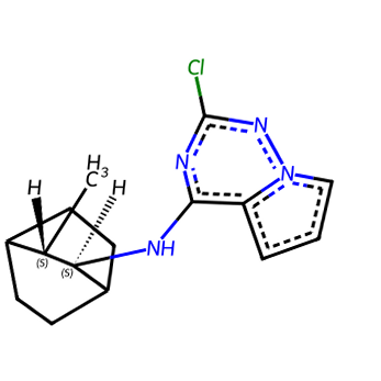 C[C@H]1C2CCC(CC2)[C@@H]1Nc1nc(Cl)nn2cccc12